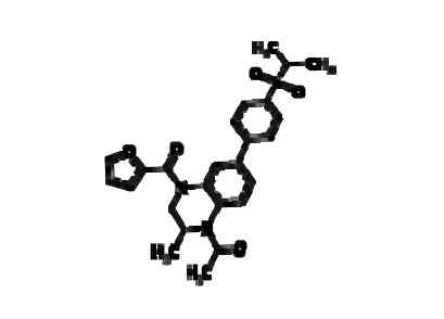 CC(=O)N1c2ccc(-c3ccc(S(=O)(=O)C(C)C)cc3)cc2N(C(=O)c2ccco2)CC1C